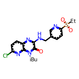 CC[C@@H](C)n1c(=O)c(NCc2ccc(S(=O)(=O)CC)nc2)nc2ccc(Cl)nc21